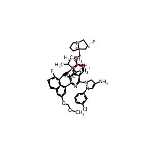 COCOc1cc(-c2nc(N3CC(N)=CN3c3cccc(Cl)c3)c3cnc(OC[C@@]45CCCN4C[C@H](F)C5)nc3c2F)c2c(C#C[Si](C(C)C)(C(C)C)C(C)C)c(F)ccc2c1